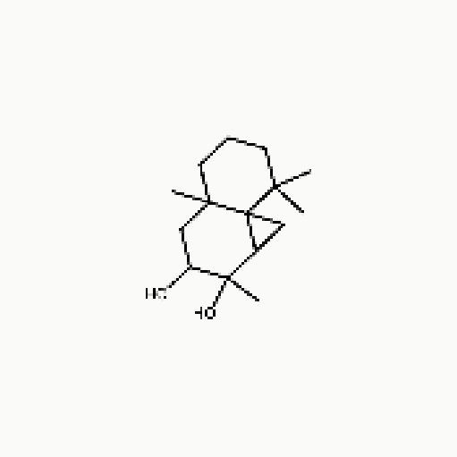 CC1(O)C(O)CC2(C)CCCC(C)(C)C23CC13